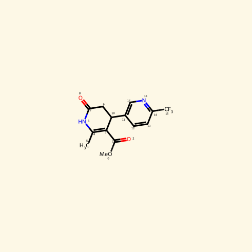 COC(=O)C1=C(C)NC(=O)CC1c1ccc(C(F)(F)F)nc1